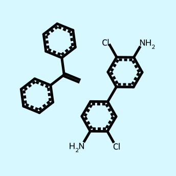 C=C(c1ccccc1)c1ccccc1.Nc1ccc(-c2ccc(N)c(Cl)c2)cc1Cl